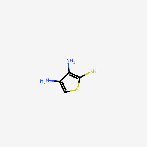 Nc1csc(S)c1N